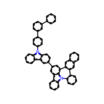 c1ccc(-c2cccc(-c3ccc(-n4c5ccccc5c5cc(-c6cc7c8c(c6)c6ccccc6n8-c6ccccc6-c6cc8ccccc8cc6-7)ccc54)cc3)c2)cc1